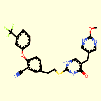 COc1ncc(Cc2c[nH]c(SCCc3ccc(Oc4cccc(C(F)(F)F)c4)c(C#N)c3)nc2=O)cn1